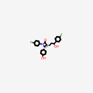 O=C1[C@@H](CC[C@H](O)c2ccc(F)cc2)[C@H](c2ccc(O)cc2)N1c1ccc(F)cc1